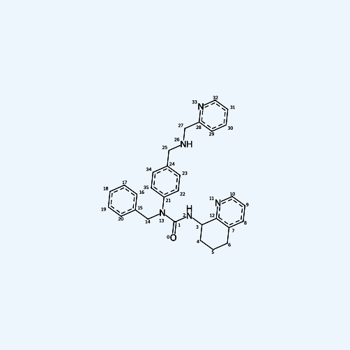 O=C(NC1CCCc2cccnc21)N(Cc1ccccc1)c1ccc(CNCc2ccccn2)cc1